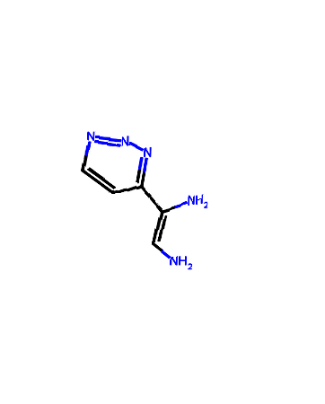 NC=C(N)c1ccnnn1